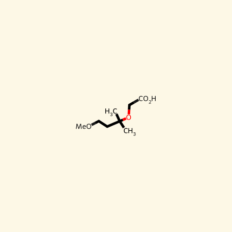 COCCC(C)(C)OCC(=O)O